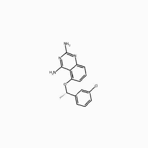 C[C@H](Oc1cccc2nc(N)nc(N)c12)c1cccc(Cl)c1